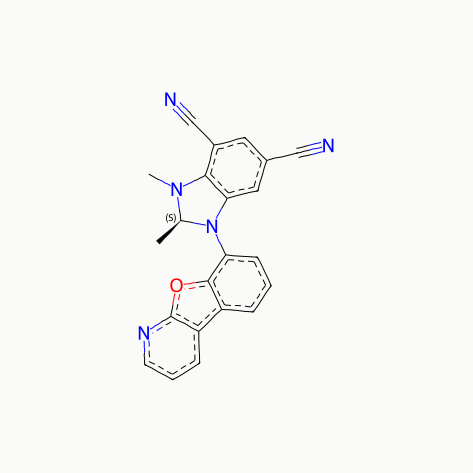 C[C@H]1N(C)c2c(C#N)cc(C#N)cc2N1c1cccc2c1oc1ncccc12